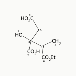 CCOC(=O)C(C)C(O)(CC(=O)O)C(=O)O